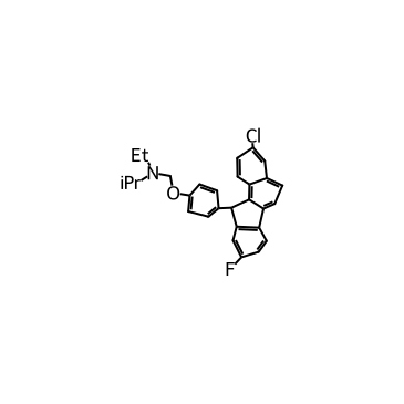 CCN(COc1ccc(C2c3cc(F)ccc3-c3ccc4cc(Cl)ccc4c32)cc1)C(C)C